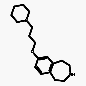 c1cc2c(cc1OCCCN1CCCCC1)CCNCC2